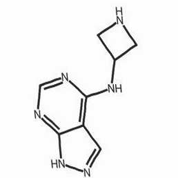 c1nc(NC2CNC2)c2cn[nH]c2n1